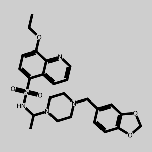 CCOc1ccc(S(=O)(=O)NC(C)N2CCN(Cc3ccc4c(c3)OCO4)CC2)c2cccnc12